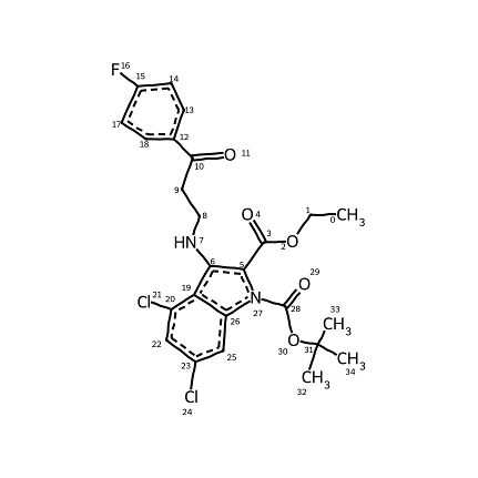 CCOC(=O)c1c(NCCC(=O)c2ccc(F)cc2)c2c(Cl)cc(Cl)cc2n1C(=O)OC(C)(C)C